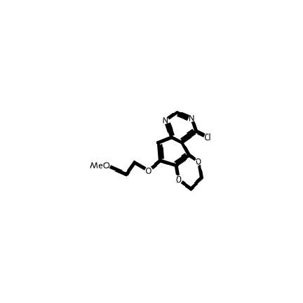 COCCOc1cc2ncnc(Cl)c2c2c1OCCO2